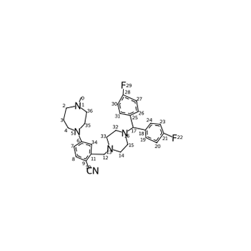 CN1CCCN(c2ccc(C#N)c(CN3CCN(C(c4ccc(F)cc4)c4ccc(F)cc4)CC3)c2)CC1